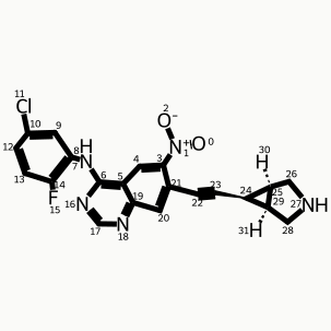 O=[N+]([O-])c1cc2c(Nc3cc(Cl)ccc3F)ncnc2cc1C#C[C@H]1[C@H]2CNC[C@@H]12